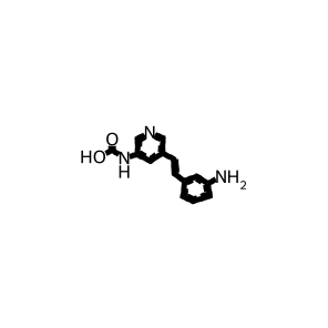 Nc1cccc(C=Cc2cncc(NC(=O)O)c2)c1